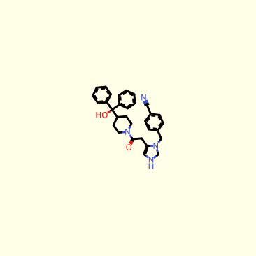 N#Cc1ccc(CN2CNC=C2CC(=O)N2CCC(C(O)(c3ccccc3)c3ccccc3)CC2)cc1